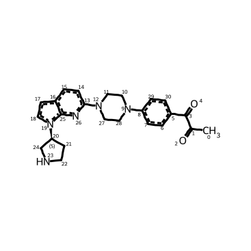 CC(=O)C(=O)c1ccc(N2CCN(c3ccc4ccn([C@H]5CCNC5)c4n3)CC2)cc1